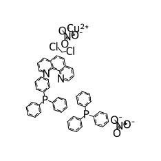 ClCCl.O=[N+]([O-])[O-].O=[N+]([O-])[O-].[Cu+2].c1ccc(P(c2ccccc2)c2ccccc2)cc1.c1ccc(P(c2ccccc2)c2ccccc2)cc1.c1cnc2c(c1)ccc1cccnc12